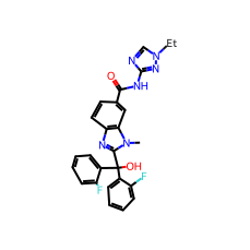 CCn1cnc(NC(=O)c2ccc3nc(C(O)(c4ccccc4F)c4ccccc4F)n(C)c3c2)n1